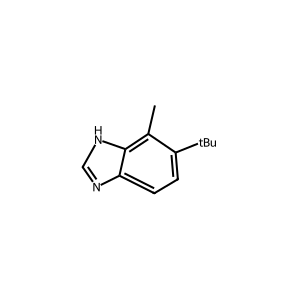 Cc1c(C(C)(C)C)ccc2nc[nH]c12